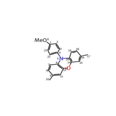 COc1ccc(N2c3ccc(C)cc3Oc3cc(C)ccc32)cc1